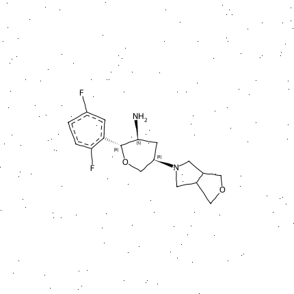 N[C@H]1C[C@@H](N2CC3COCC3C2)CO[C@@H]1c1cc(F)ccc1F